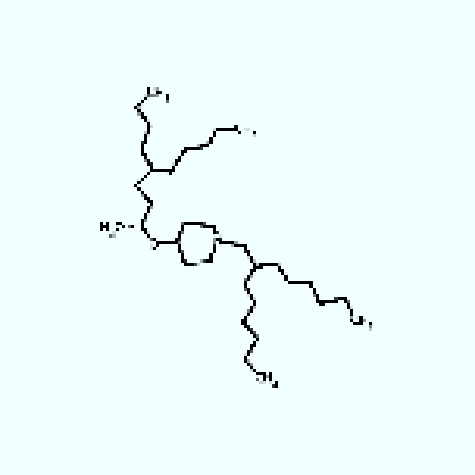 CCCCCCC(CCCCCC)CN1CCC(O[C@H](C)CCC(CCCC)CCCCC)CC1